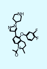 CC(=O)N1c2ccc(-c3cnn(C4CCNCC4)c3)c(Oc3ccc(F)c(F)c3)c2CCC1C